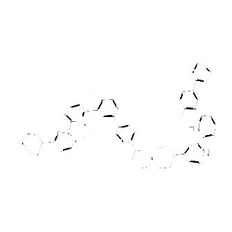 Cc1ccc(-c2ccc(C3CCCC4(CCC(c5cc[n+](C)c(-c6cccc(-c7cc(-c8ccccc8)ccc7C)[n+]6C)c5)CC4)C3)cc2)cc1-c1cccc(-c2cc(C3CCC(C)(C)CC3)cc[n+]2C)[n+]1C